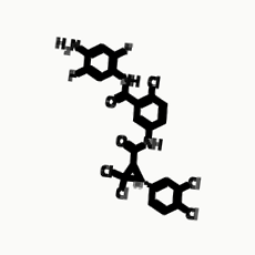 Nc1cc(F)c(NC(=O)c2cc(NC(=O)C3[C@H](c4ccc(Cl)c(Cl)c4)C3(Cl)Cl)ccc2Cl)cc1F